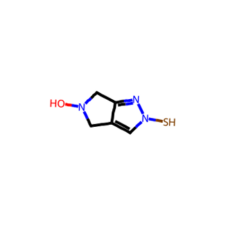 ON1Cc2cn(S)nc2C1